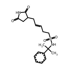 CC(C)(NS(=O)(=O)CC/C=C/CC1CC(=O)NC1=O)c1ccccc1